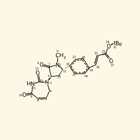 CN1C(=O)[C@H](N2CC=CC(=O)NC2=O)C[C@H]1c1ccc(/C=C/C(=O)OC(C)(C)C)cc1